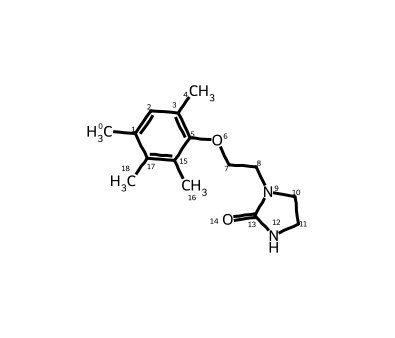 Cc1cc(C)c(OCCN2CCNC2=O)c(C)c1C